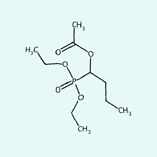 CCCC(OC(C)=O)P(=O)(OCC)OCC